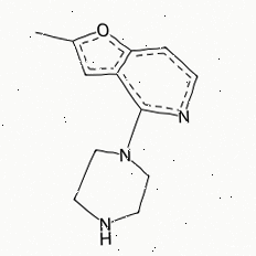 Cc1cc2c(N3CCNCC3)nccc2o1